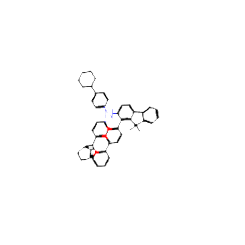 CC1(C)c2ccccc2-c2ccc(N(c3ccc(C4CCCCC4)cc3)c3ccc(C4CC5CCC4C5)cc3)c(-c3ccc(-c4ccccc4)cc3)c21